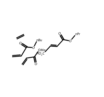 C=C.C=CC(=O)OC.C=CC(=O)OCCCC.CCCOC(=O)C=CC(=O)O